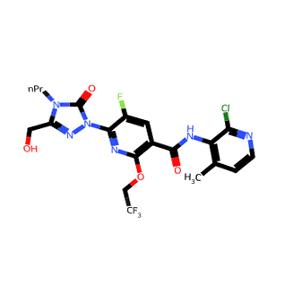 CCCn1c(CO)nn(-c2nc(OCC(F)(F)F)c(C(=O)Nc3c(C)ccnc3Cl)cc2F)c1=O